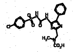 CN(Cc1nc(-c2ccccc2)c(NC(=O)NS(=O)(=O)c2ccc(Cl)cc2)s1)C(=O)O